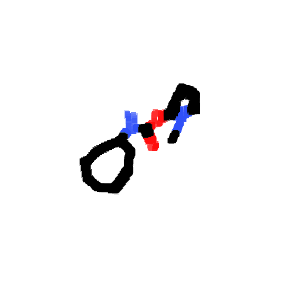 Cn1cccc1OC(=O)NC1CCCCCCC1